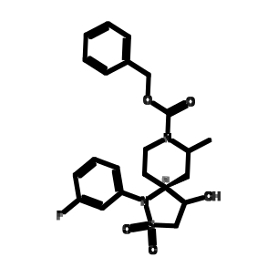 CC1C[C@@]2(CCN1C(=O)OCc1ccccc1)C(O)CS(=O)(=O)N2c1cccc(F)c1